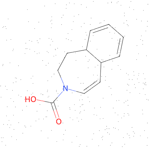 O=C(O)N1C=CC2C=CC=CC2CC1